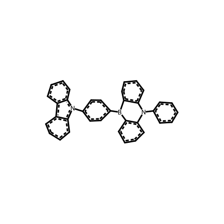 c1ccc(N2c3ccccc3B(c3ccc(-n4c5ccccc5c5ccccc54)cc3)c3ccccc32)cc1